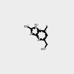 CCc1nc2nc(CO)cc(C)c2[nH]1